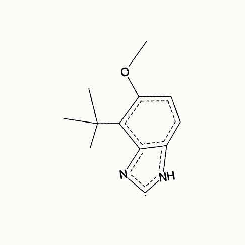 COc1ccc2[nH][c]nc2c1C(C)(C)C